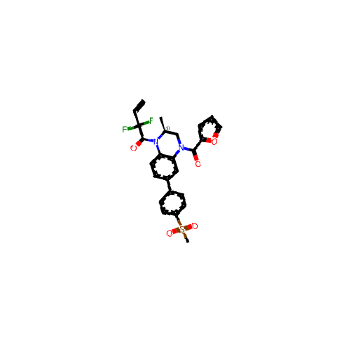 C=CC(F)(F)C(=O)N1c2ccc(-c3ccc(S(C)(=O)=O)cc3)cc2N(C(=O)c2ccco2)C[C@@H]1C